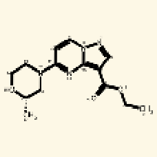 CCOC(=O)c1cnn2ccc(N3CCO[C@@H](C)C3)nc12